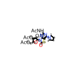 CC(=O)Nc1nc(N2CCCC2)c2sc(=O)n([C@@H]3O[C@H](COC(C)=O)[C@@H](OC(C)=O)[C@H]3OC(C)=O)c2n1